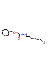 CC(C)(C)CCCCCCNC(=O)COCc1ccccc1